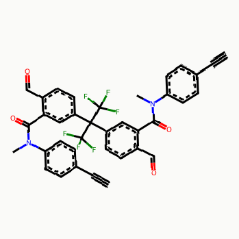 C#Cc1ccc(N(C)C(=O)c2cc(C(c3ccc(C=O)c(C(=O)N(C)c4ccc(C#C)cc4)c3)(C(F)(F)F)C(F)(F)F)ccc2C=O)cc1